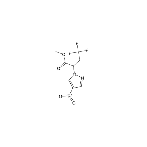 COC(=O)C(CC(F)(F)F)n1cc([N+](=O)[O-])cn1